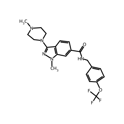 CN1CCN(c2nn(C)c3cc(C(=O)NCc4ccc(OC(F)(F)F)cc4)ccc23)CC1